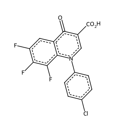 O=C(O)c1cn(-c2ccc(Cl)cc2)c2c(F)c(F)c(F)cc2c1=O